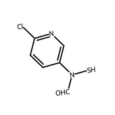 O=CN(S)c1ccc(Cl)nc1